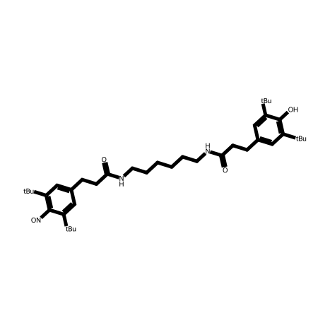 CC(C)(C)c1cc(CCC(=O)NCCCCCCNC(=O)CCc2cc(C(C)(C)C)c(N=O)c(C(C)(C)C)c2)cc(C(C)(C)C)c1O